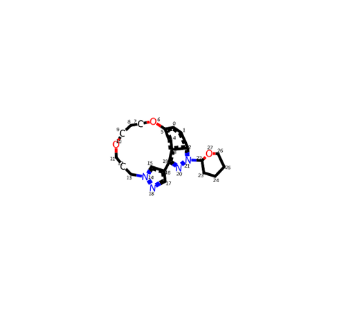 c1cc2c3cc1OCCCOCCCn1cc(cn1)-c3nn2C1CCCCO1